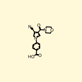 N#Cc1cn(-c2ccc(C(=O)O)cc2)cc1C(=O)N1CCOCC1